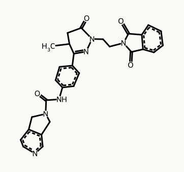 CC1CC(=O)N(CCN2C(=O)c3ccccc3C2=O)N=C1c1ccc(NC(=O)N2Cc3ccncc3C2)cc1